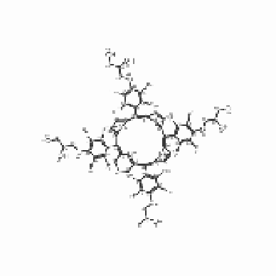 CC(O)COc1c(F)c(F)c(-c2c3nc(c(-c4c(F)c(F)c(OCC(O)CO)c(F)c4F)c4ccc([nH]4)c(-c4c(F)c(F)c(OCC(O)CO)c(F)c4F)c4nc(c(-c5c(F)c(F)c(OCC(O)CO)c(F)c5F)c5ccc2[nH]5)C=C4)CCC3)c(F)c1F